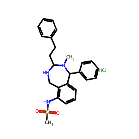 CN1C(CCc2ccccc2)NCc2c(NS(C)(=O)=O)cccc2C1c1ccccc1.Cl